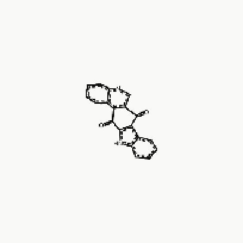 O=C1c2[nH]c3ccccc3c2C(=O)c2cnc3ccccc3c21